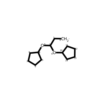 [CH2]CC(OC1CCCC1)OC1CCCC1